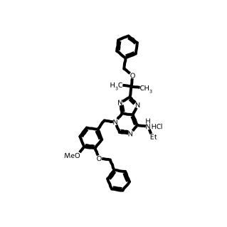 CCNc1ncn(Cc2ccc(OC)c(OCc3ccccc3)c2)c2nc(C(C)(C)OCc3ccccc3)nc1-2.Cl